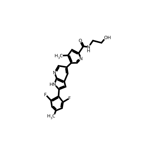 Cc1cc(F)c(-c2cc3cc(-c4cnc(C(=O)NCCO)cc4C)cnc3[nH]2)c(F)c1